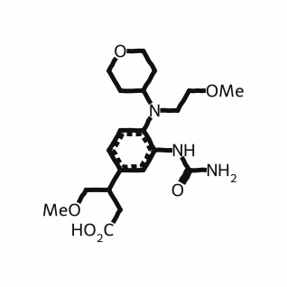 COCCN(c1ccc(C(COC)CC(=O)O)cc1NC(N)=O)C1CCOCC1